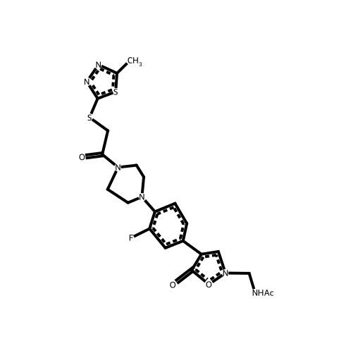 CC(=O)NCn1cc(-c2ccc(N3CCN(C(=O)CSc4nnc(C)s4)CC3)c(F)c2)c(=O)o1